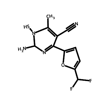 CC1=C(C#N)C(c2ccc(C(F)F)o2)=NC(N)N1S